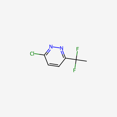 CC(F)(F)c1ccc(Cl)nn1